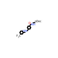 CCCCCCCCCCCCNC(=O)c1ccc(CNCc2cccc(C(F)(F)F)c2)cc1